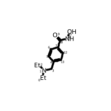 CCN(CC)Cc1ccc(C(=O)NO)cc1